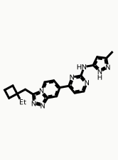 CCC1(Cc2nnc3cc(-c4ccnc(Nc5cc(C)n[nH]5)n4)ccn23)CCC1